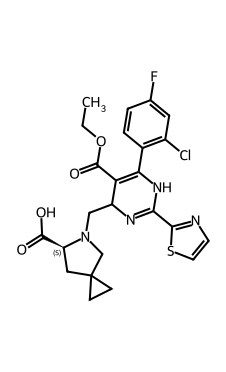 CCOC(=O)C1=C(c2ccc(F)cc2Cl)NC(c2nccs2)=NC1CN1CC2(CC2)C[C@H]1C(=O)O